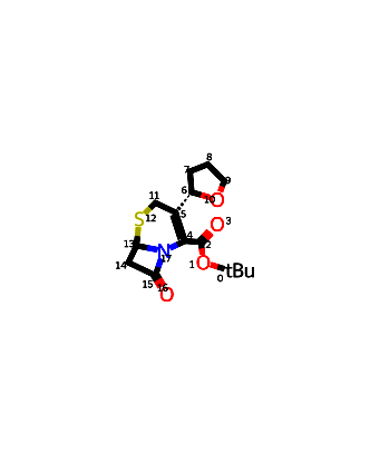 CC(C)(C)OC(=O)C1=C([C@@H]2CCCO2)CSC2CC(=O)N12